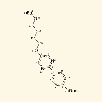 CCCCCCCCCc1ccc(-c2ncc(OCCCCOCCCC)cn2)cc1